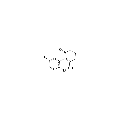 CCc1ccc(I)cc1C1=C(O)CCCC1=O